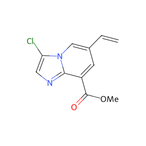 C=Cc1cc(C(=O)OC)c2ncc(Cl)n2c1